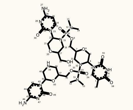 Cc1cn(C2COC(COP(=O)(N(C)C)N3CC(CO)OCC3n3ccc(N)nc3=O)CN2P(=O)(OCC2CNCC(n3ccc(N)nc3=O)O2)N(C)C)c(=O)[nH]c1=O